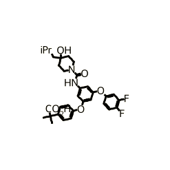 CC(C)CC1(O)CCN(C(=O)Nc2cc(Oc3ccc(C(C)(C)C(=O)O)cc3)cc(Oc3ccc(F)c(F)c3)c2)CC1